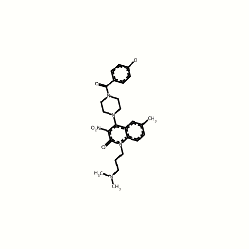 Cc1ccc2c(c1)c(N1CCN(C(=O)c3ccc(Cl)cc3)CC1)c([N+](=O)[O-])c(=O)n2CCCN(C)C